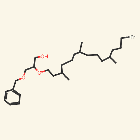 CC(C)CCCC(C)CCCC(C)CCCC(C)CCOC(CO)COCc1ccccc1